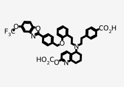 O=C(O)Oc1ccc2c(n1)CCCC2N(CCc1ccc(C(=O)O)cc1)CCc1ccccc1OCc1ccc(-c2nc3cc(OC(F)(F)F)ccc3o2)cc1